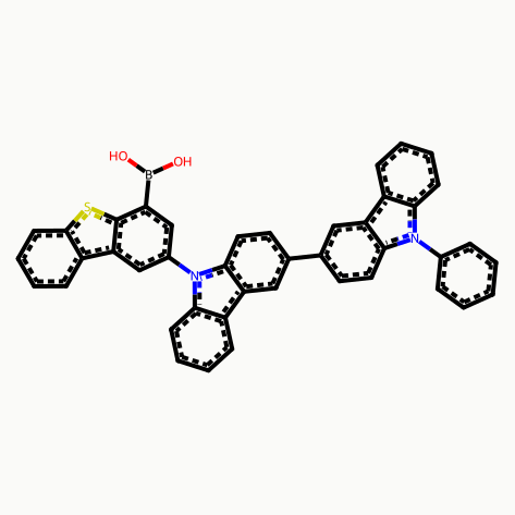 OB(O)c1cc(-n2c3ccccc3c3cc(-c4ccc5c(c4)c4ccccc4n5-c4ccccc4)ccc32)cc2c1sc1ccccc12